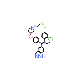 CC/C(=C(/c1ccc(OC2CCN(CCCF)C2)cc1)c1ccc2[nH]ncc2c1)c1ccc(F)cc1Cl